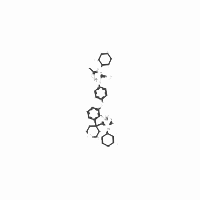 Cc1nn(-c2ccc(Sc3cccc(C4(c5nncn5C5CCCCC5)CCOCC4)c3)cc2)c(=O)n1C1CCCCC1